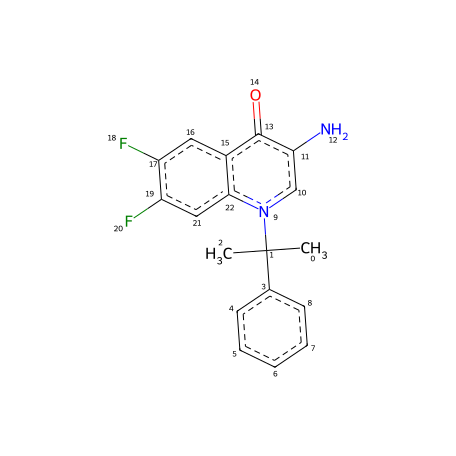 CC(C)(c1ccccc1)n1cc(N)c(=O)c2cc(F)c(F)cc21